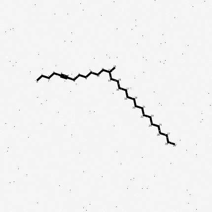 [CH2]CCCC#CCCCCCCC(C)CCCCCCCCCCCCCCC[CH2]